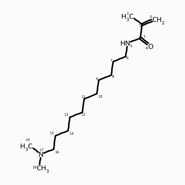 C=C(C)C(=O)NCCCCCCCCCCCN(C)C